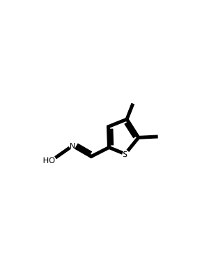 Cc1cc(/C=N/O)sc1C